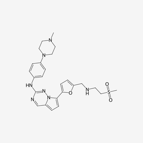 CN1CCN(c2ccc(Nc3ncc4ccc(-c5ccc(CNCCS(C)(=O)=O)o5)n4n3)cc2)CC1